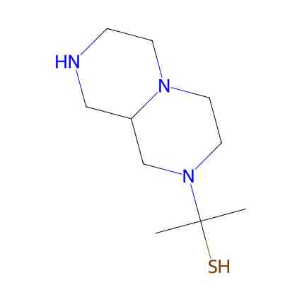 CC(C)(S)N1CCN2CCNCC2C1